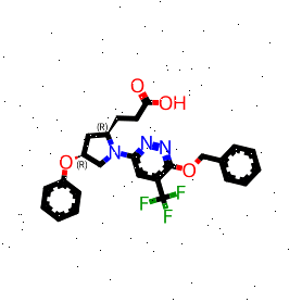 O=C(O)CC[C@@H]1C[C@@H](Oc2ccccc2)CN1c1cc(C(F)(F)F)c(OCc2ccccc2)nn1